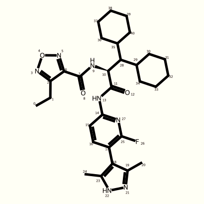 CCc1nonc1C(=O)N[C@H](C(=O)Nc1ccc(-c2c(C)n[nH]c2C)c(F)n1)C(C1CCCCC1)C1CCCCC1